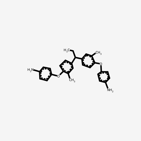 CCC(c1ccc(Oc2ccc(N)cc2)c(C)c1)c1ccc(Oc2ccc(N)cc2)c(C)c1